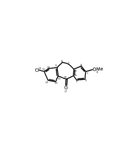 COc1ccc2c(c1)CCc1cc(Cl)ccc1C2=O